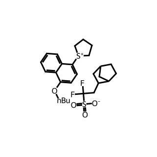 CCCCOc1ccc([S+]2CCCC2)c2ccccc12.O=S(=O)([O-])C(F)(F)CC1CC2CCC1C2